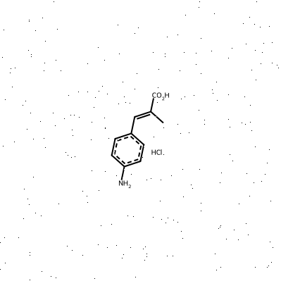 CC(=Cc1ccc(N)cc1)C(=O)O.Cl